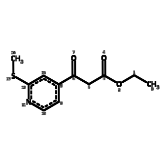 CCOC(=O)CC(=O)c1ccnc(SC)c1